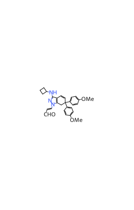 COc1ccc(C2(c3ccc(OC)cc3)C=Cc3c(NC4CCC4)nn(C=CC=O)c3C2)cc1